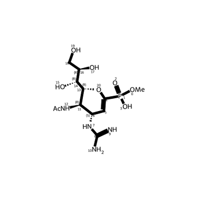 COP(=O)(O)C1=C[C@H](NC(=N)N)[C@@H](NC(C)=O)[C@H]([C@H](O)[C@H](O)CO)O1